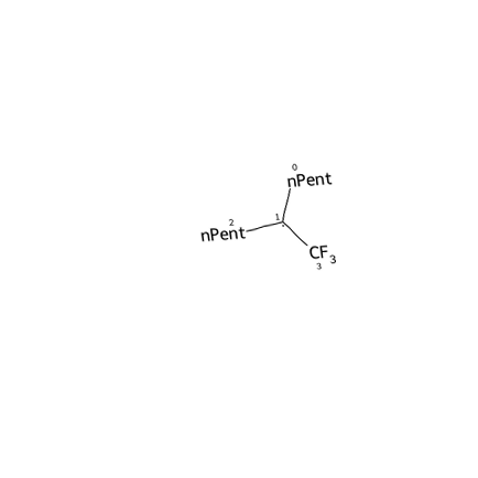 CCCCC[C](CCCCC)C(F)(F)F